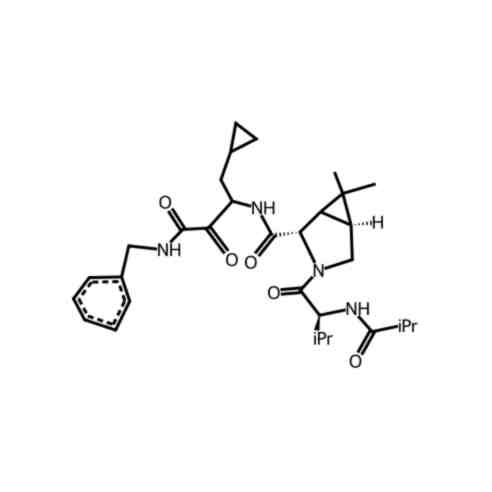 CC(C)C(=O)N[C@H](C(=O)N1C[C@H]2C([C@H]1C(=O)NC(CC1CC1)C(=O)C(=O)NCc1ccccc1)C2(C)C)C(C)C